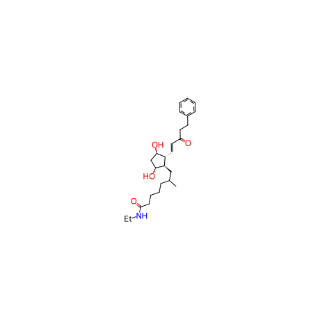 CCNC(=O)CCCCC(C)C[C@@H]1[C@@H](/C=C/C(=O)CCc2ccccc2)[C@H](O)C[C@@H]1O